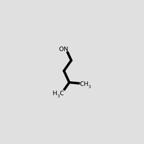 CC(C)CCN=O